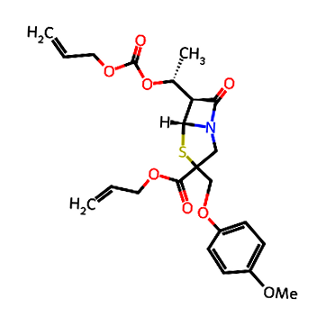 C=CCOC(=O)O[C@H](C)[C@H]1C(=O)N2CC(COc3ccc(OC)cc3)(C(=O)OCC=C)S[C@H]12